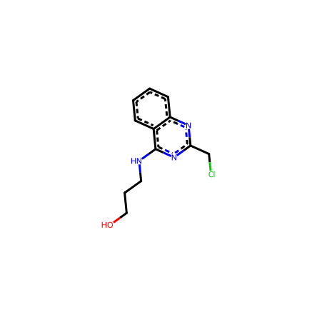 OCCCNc1nc(CCl)nc2ccccc12